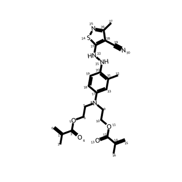 C=C(C)C(=O)OCCN(CCOC(=O)C(=C)C)c1ccc(NNc2snc(C)c2C#N)c(C)c1